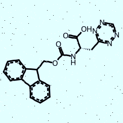 O=C(N[C@@H](Cc1nncnn1)C(=O)O)OCC1c2ccccc2-c2ccccc21